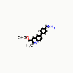 Cc1nc2ccc(-c3ccc(CN)cc3)cc2cc1COC=O